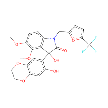 COc1ccc2c(c1OC)C(O)(c1cc3c(cc1O)OCCO3)C(=O)N2Cc1ccc(C(F)(F)F)o1